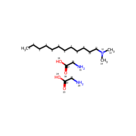 CCCCCCCCCCCCN(C)C.NCC(=O)O.NCC(=O)O